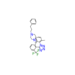 Cc1cccc(C)c1-n1nnnc1-c1c(CN2CCN(CCCc3ccccc3)CC2)cccc1C(F)(F)F